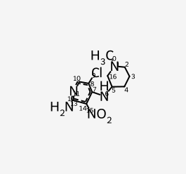 CN1CCCC(Nc2c(Cl)cnc(N)c2[N+](=O)[O-])C1